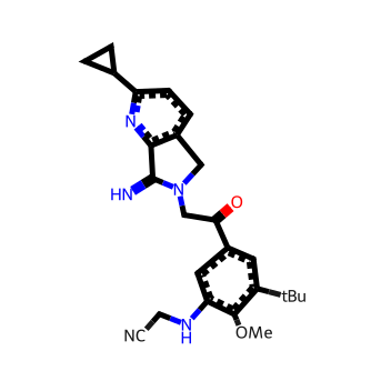 COc1c(NCC#N)cc(C(=O)CN2Cc3ccc(C4CC4)nc3C2=N)cc1C(C)(C)C